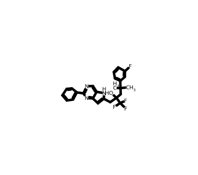 CC(C)(CC(O)(Cc1cc2nc(-c3ccccc3)ncc2[nH]1)C(F)(F)F)c1cccc(F)c1